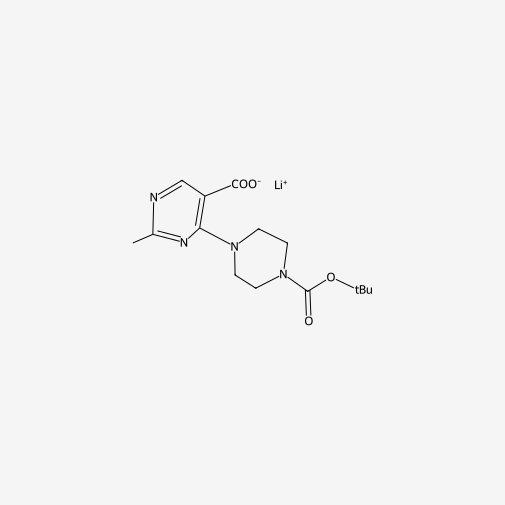 Cc1ncc(C(=O)[O-])c(N2CCN(C(=O)OC(C)(C)C)CC2)n1.[Li+]